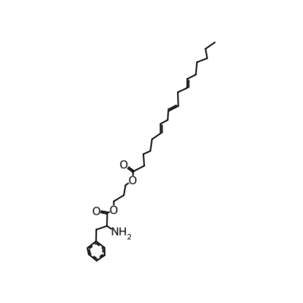 CCCCCC=CCC=CCC=CCCCCC(=O)OCCCOC(=O)C(N)Cc1ccccc1